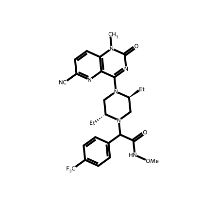 CC[C@H]1CN(C(C(=O)NOC)c2ccc(C(F)(F)F)cc2)[C@H](CC)CN1c1nc(=O)n(C)c2ccc(C#N)nc12